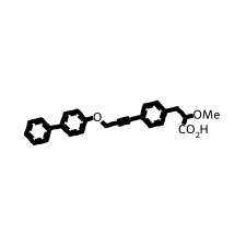 COC(Cc1ccc(C#CCOc2ccc(-c3ccccc3)cc2)cc1)C(=O)O